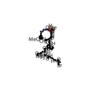 C=C(CBr)C(=O)NCCCCCC(=O)N[C@H](C(=O)N[C@@H](CCCNC(N)=O)C(=O)Nc1ccc(NC(=O)O[C@H]2CC(=O)N(C)c3cc(cc(OC)c3Cl)C/C(C)=C/C=C/[C@@H](OC)[C@@]3(O)C[C@H](OC(=O)N3)[C@@H](C)[C@@H]3O[C@@]23C)c2ncccc12)C(C)C